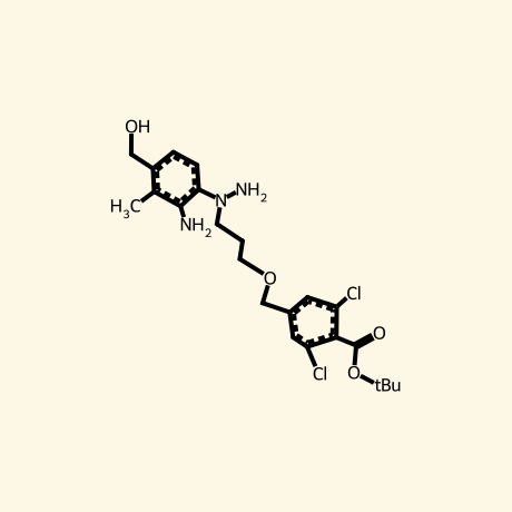 Cc1c(CO)ccc(N(N)CCCOCc2cc(Cl)c(C(=O)OC(C)(C)C)c(Cl)c2)c1N